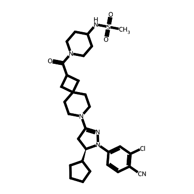 CS(=O)(=O)NC1CCN(C(=O)C2CC3(CCN(C4=NN(c5ccc(C#N)c(Cl)c5)[C@@H](C5CCCC5)C4)CC3)C2)CC1